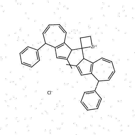 CC1=CC2=C(C=CC=CC2c2ccccc2)C1[C]1(C2C(C)=CC3=C2C=CC=CC3c2ccccc2)C[CH2][Zr+]1.[Cl-]